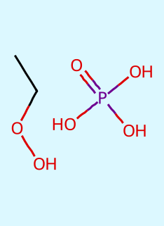 CCOO.O=P(O)(O)O